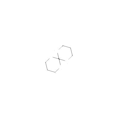 [CH]1CCOC2(O1)OCCCO2